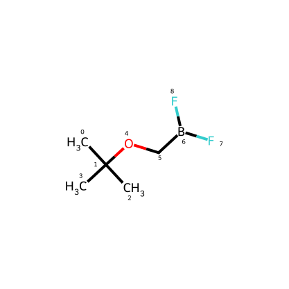 CC(C)(C)OCB(F)F